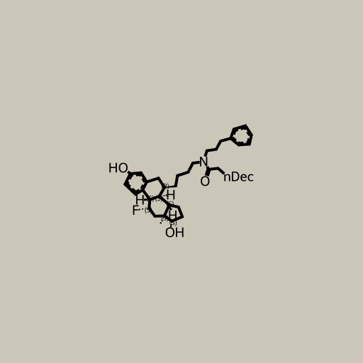 CCCCCCCCCCCC(=O)N(CCCC[C@@H]1Cc2cc(O)ccc2[C@@H]2[C@@H]1[C@@H]1CC[C@H](O)[C@@]1(C)C[C@@H]2F)CCCc1ccccc1